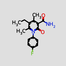 CCc1c(C)c(C(N)=O)c(=O)n(-c2ccc(F)cc2)c1C